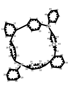 c1ccc(N2c3ccc(cc3)-c3ccccc3-c3ccc(cc3)N(c3ccccc3)c3ccc(cc3)-c3ccccc3-c3ccc2cc3)cc1